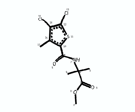 COC(=O)C(C)(C)NC(=O)c1sc(Cl)c(Cl)c1C